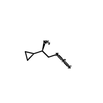 [N-]=[N+]=NC[C@H](N)C1CC1